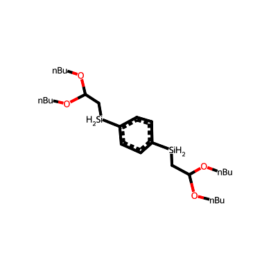 CCCCOC(C[SiH2]c1ccc([SiH2]CC(OCCCC)OCCCC)cc1)OCCCC